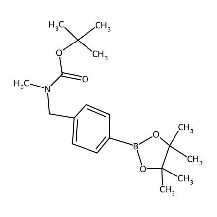 CN(Cc1ccc(B2OC(C)(C)C(C)(C)O2)cc1)C(=O)OC(C)(C)C